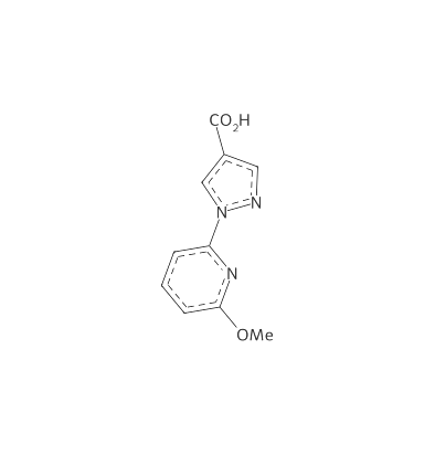 COc1cccc(-n2cc(C(=O)O)cn2)n1